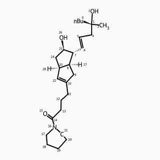 CCCC[C@](C)(O)C/C=C/[C@@H]1[C@H]2CC(CCCC(=O)N3CCCCC3)=C[C@H]2C[C@H]1O